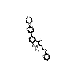 Nc1ccc(-c2cnc(N3CCOCC3)nc2)cc1C(=O)N(N)CCOc1ncccn1